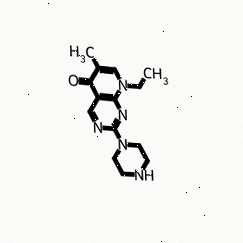 CCn1cc(C)c(=O)c2cnc(N3CCNCC3)nc21